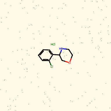 Cl.Clc1ccccc1C1COCCN1